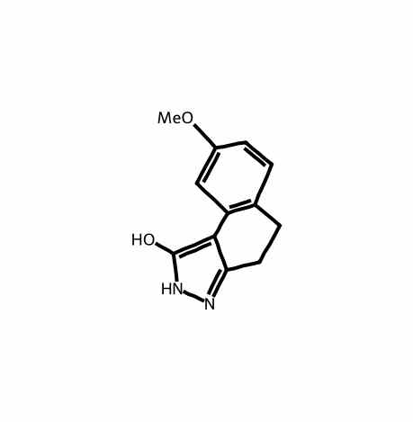 COc1ccc2c(c1)-c1c(n[nH]c1O)CC2